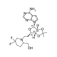 CC1(C)O[C@@H]2[C@H](O1)[C@@H](CCN1CC(F)(F)CCC1CO)O[C@H]2n1ccc2c(N)ncnc21